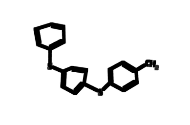 Cc1ccc(Sc2ccc(Sc3ccccc3)cc2)cc1